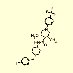 C[C@@H]1CN(c2cnc(C(F)(F)F)cn2)C[C@@H](C)N1C(=O)NC1CCN(Cc2ccc(F)cc2)CC1